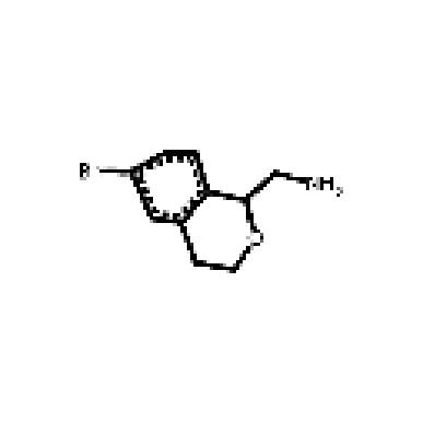 NCC1OCCc2cc(Br)ccc21